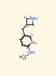 CNc1ccc(CC2CNC2)cn1